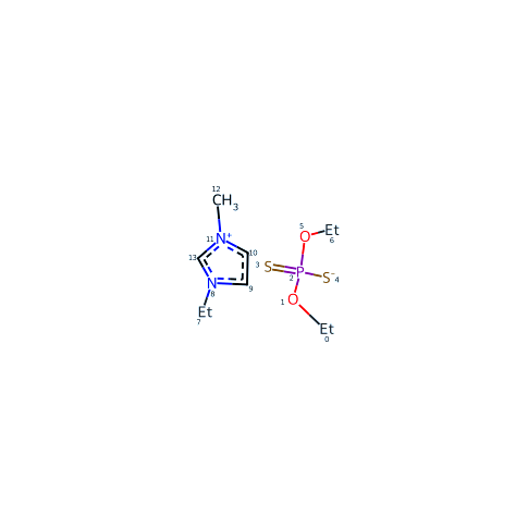 CCOP(=S)([S-])OCC.CCn1cc[n+](C)c1